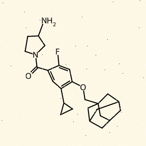 NC1CCN(C(=O)c2cc(C3CC3)c(OCC34CC5CC(CC(C5)C3)C4)cc2F)C1